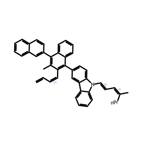 C=C/C=C\c1c(C)c(-c2ccc3ccccc3c2)c2ccccc2c1-c1ccc2c(c1)c1ccccc1n2/C=C/C=C(/C)CCC